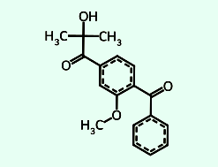 COc1cc(C(=O)C(C)(C)O)ccc1C(=O)c1ccccc1